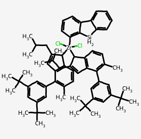 Cc1ccc2c(c1-c1cc(C(C)(C)C)cc(C(C)(C)C)c1)C=C(CC(C)C)[CH]2[Zr]([Cl])([Cl])([c]1cccc2c1[SiH2]c1ccccc1-2)[CH]1C(CC(C)C)=Cc2c1ccc(C)c2-c1cc(C(C)(C)C)cc(C(C)(C)C)c1